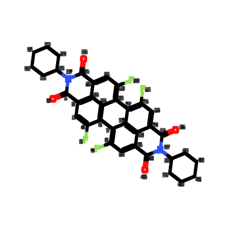 O=C1c2cc(F)c3c4c(F)cc5c6c(cc(F)c(c7c(F)cc(c2c37)C(=O)N1C1CCCCC1)c64)C(=O)N(C1CCCCC1)C5=O